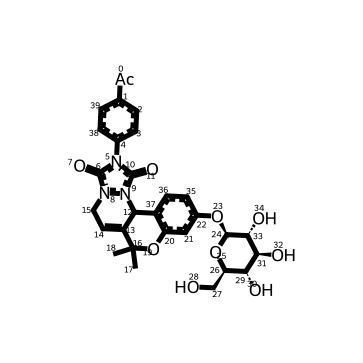 CC(=O)c1ccc(-n2c(=O)n3n(c2=O)C2C(=CC3)C(C)(C)Oc3cc(O[C@@H]4O[C@H](CO)[C@@H](O)[C@H](O)[C@H]4O)ccc32)cc1